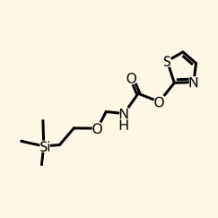 C[Si](C)(C)CCOCNC(=O)Oc1nccs1